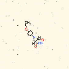 CCCOc1ccc(N2C[C@@H]3C(=O)NC(=O)[C@@H]3C2)cc1